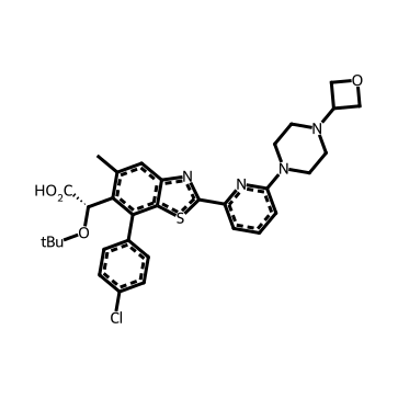 Cc1cc2nc(-c3cccc(N4CCN(C5COC5)CC4)n3)sc2c(-c2ccc(Cl)cc2)c1[C@H](OC(C)(C)C)C(=O)O